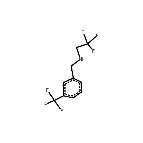 FC(F)(F)CNCc1cccc(C(F)(F)F)c1